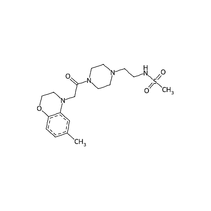 Cc1ccc2c(c1)N(CC(=O)N1CCN(CCNS(C)(=O)=O)CC1)CCO2